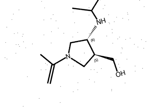 C=C(C)N1C[C@H](CO)[C@@H](NC(C)C)C1